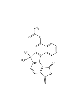 CC(=O)Oc1cc2c(c3ccccc13)-c1c(ccc3c1C(=O)OC3=O)C2(C)C